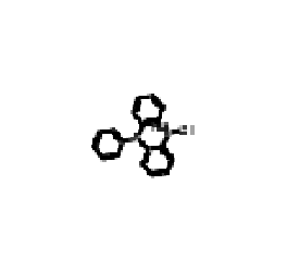 OB(O)c1ccccc1N(c1ccccc1)c1ccccc1